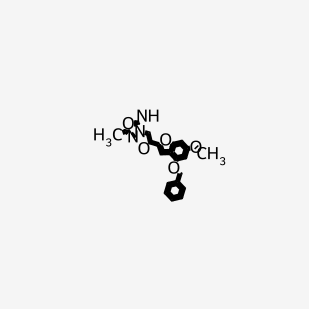 COc1cc(OCc2ccccc2)c2cc(C(=O)Cn3nc(C)oc3=N)oc2c1